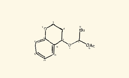 CC(=O)OC(OC1CCOc2ccccc21)C(C)(C)C